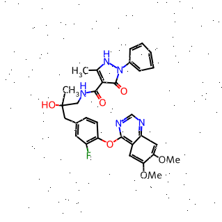 COc1cc2ncnc(Oc3ccc(CC(C)(O)CNC(=O)c4c(C)[nH]n(-c5ccccc5)c4=O)cc3F)c2cc1OC